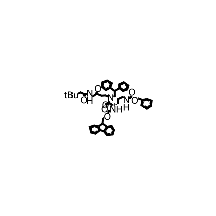 CC(C)(C)CC(=O)NCC(=O)CCN(CC(c1ccccc1)c1ccccc1)C(=O)[C@H](CCCNC(=O)OCc1ccccc1)NC(=O)OCC1c2ccccc2-c2ccccc21